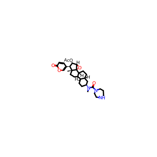 CC(=O)O[C@H]1[C@H]2O[C@]23[C@@H]2CC[C@@H]4C[C@@H](N(C)C(=O)N5CCCNCC5)CC[C@]4(C)[C@H]2CC[C@]3(C)[C@H]1c1ccc(=O)oc1